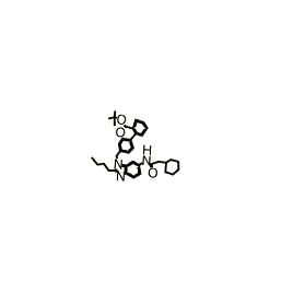 CCCCc1nc2ccc(NC(=O)CC3CCCCC3)cc2n1Cc1ccc(-c2ccccc2C(=O)OC(C)(C)C)cc1